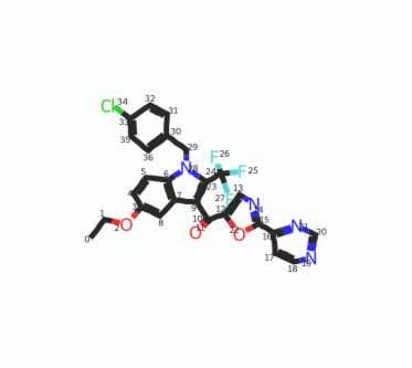 CCOc1ccc2c(c1)c(C(=O)c1cnc(-c3ccncn3)o1)c(C(F)(F)F)n2Cc1ccc(Cl)cc1